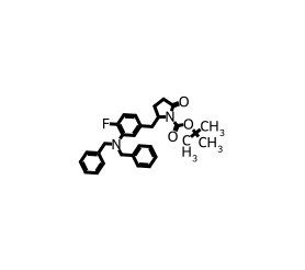 CC(C)(C)OC(=O)N1C(=O)CCC1Cc1ccc(F)c(N(Cc2ccccc2)Cc2ccccc2)c1